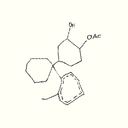 CC(=O)OC1CCC(C2(c3ccccc3C)CCCCC2)CC1O